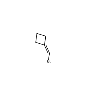 CCC=C1CCC1